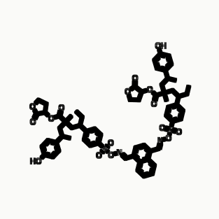 CCC(CC(C)(CC(C)c1ccc(O)cc1)C(=O)OC1CCOC1=O)c1ccc(S(=O)(=O)O/N=C/c2ccc(/C=N/OS(=O)(=O)c3ccc(C(CC)CC(C)(CC(C)c4ccc(O)cc4)C(=O)OC4CCOC4=O)cc3)c3ccccc23)cc1